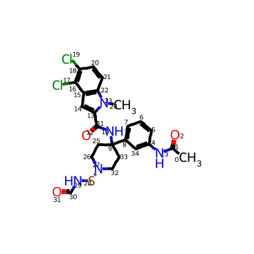 CC(=O)Nc1cccc(C2(NC(=O)c3cc4c(Cl)c(Cl)ccc4n3C)CCN(SNC=O)CC2)c1